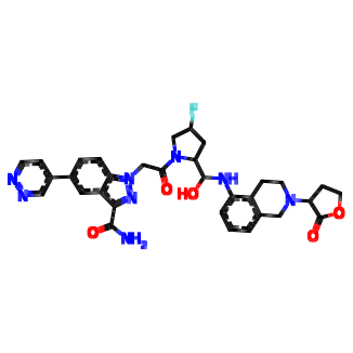 NC(=O)c1nn(CC(=O)N2CC(F)CC2C(O)Nc2cccc3c2CCN(C2CCOC2=O)C3)c2ccc(-c3ccnnc3)cc12